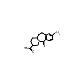 Nc1ccc2c(n1)CCC1CCC(C(=O)O)CN1C2=O